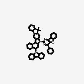 CC1(C)c2ccccc2-c2cc3c4c5ccccc5c(-n5c6ccccc6c6ccccc65)cc4n(-c4nc(-c5ccccc5)c5oc6ccccc6c5n4)c3cc21